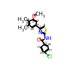 COc1cc(-c2csc(NC(=O)c3ccc(Cl)cc3)n2)cc(C)c1C